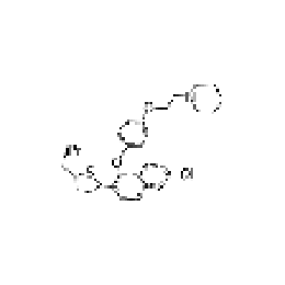 CC(C)CC1=CCC(c2ccc3cc(O)ccc3c2Oc2ccc(OCCN3CCCCC3)cc2)S1